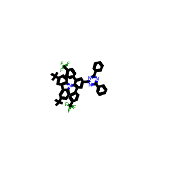 CC(C)(C)c1ccc2c(c1)c1cc(C(C)(C)C)ccc1n2-c1c(-c2ccc(C(F)(F)F)cc2)cc(-c2nc(-c3ccccc3)nc(-c3ccccc3)n2)cc1-c1ccc(C(F)(F)F)cc1